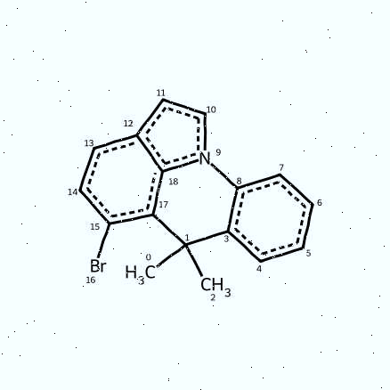 CC1(C)c2ccccc2-n2ccc3ccc(Br)c1c32